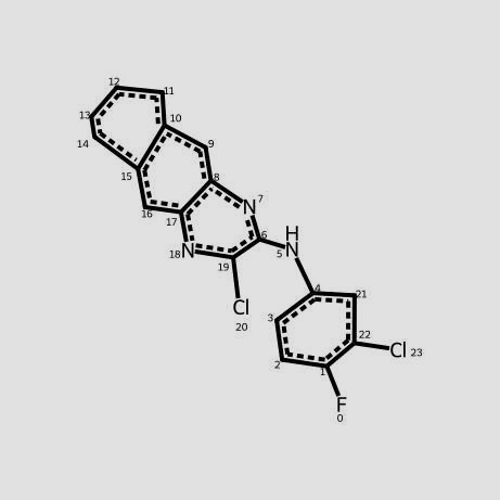 Fc1ccc(Nc2nc3cc4ccccc4cc3nc2Cl)cc1Cl